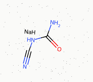 N#CNC(N)=O.[NaH]